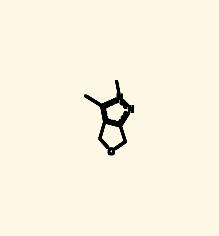 Cc1c2c(nn1C)COC2